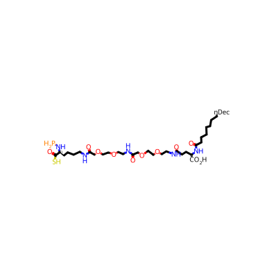 CCCCCCCCCCCCCCCCCC(=O)NC(CCC(=O)NCCOCCOCC(=O)NCCOCCOCC(=O)NCCCC[C@H](NP)C(=O)S)C(=O)O